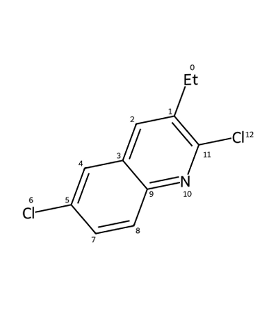 CCc1cc2cc(Cl)ccc2nc1Cl